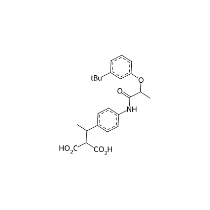 CC(Oc1cccc(C(C)(C)C)c1)C(=O)Nc1ccc(C(C)C(C(=O)O)C(=O)O)cc1